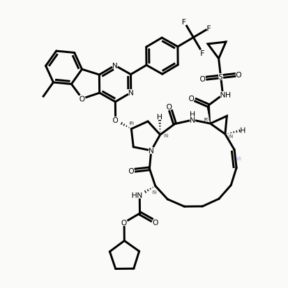 Cc1cccc2c1oc1c(O[C@@H]3C[C@H]4C(=O)N[C@]5(C(=O)NS(=O)(=O)C6CC6)C[C@H]5/C=C\CCCCC[C@H](NC(=O)OC5CCCC5)C(=O)N4C3)nc(-c3ccc(C(F)(F)F)cc3)nc12